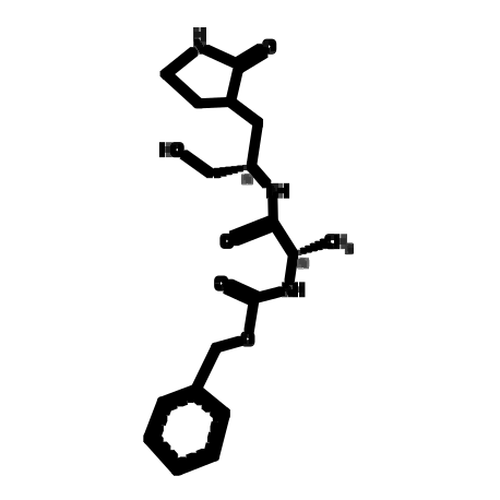 C[C@H](NC(=O)OCc1ccccc1)C(=O)N[C@H](CO)CC1CCNC1=O